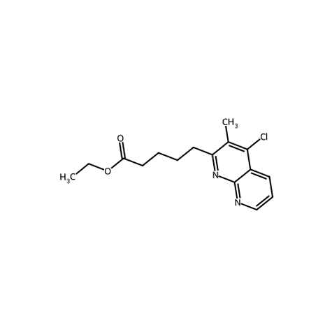 CCOC(=O)CCCCc1nc2ncccc2c(Cl)c1C